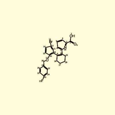 O=C(O)c1cccc(C2=C(c3cc(Br)ccc3OCc3ccc(F)cc3)CCCC2)n1